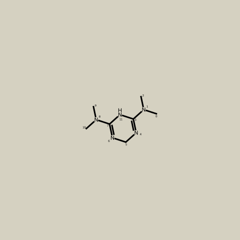 CN(C)C1=NCN=C(N(C)C)N1